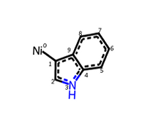 [Ni][c]1c[nH]c2ccccc12